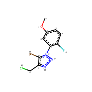 COc1ccc(F)c(-n2nnc(CCl)c2Br)c1